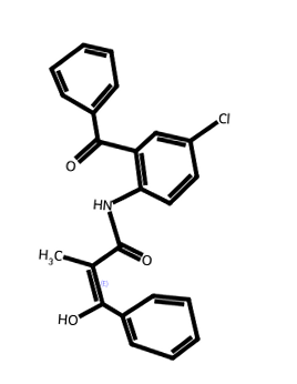 C/C(C(=O)Nc1ccc(Cl)cc1C(=O)c1ccccc1)=C(\O)c1ccccc1